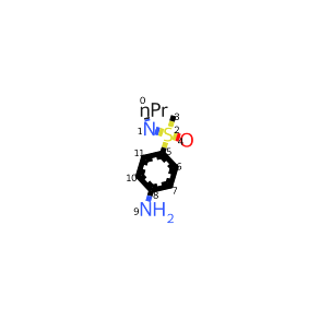 CCCN=S(C)(=O)c1ccc(N)cc1